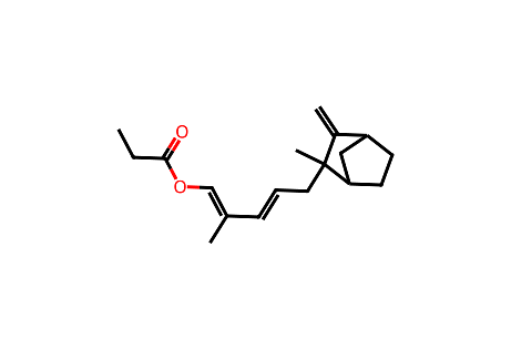 C=C1C2CCC(C2)C1(C)CC=CC(C)=COC(=O)CC